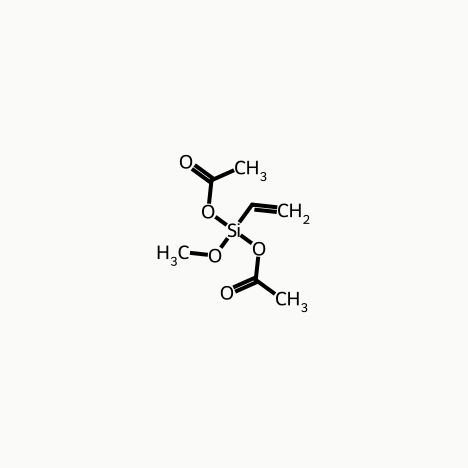 C=C[Si](OC)(OC(C)=O)OC(C)=O